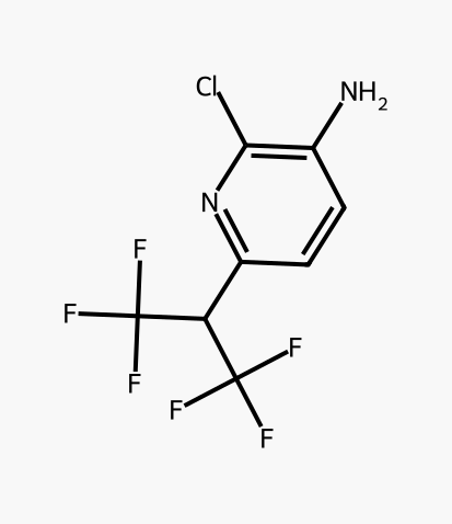 Nc1ccc(C(C(F)(F)F)C(F)(F)F)nc1Cl